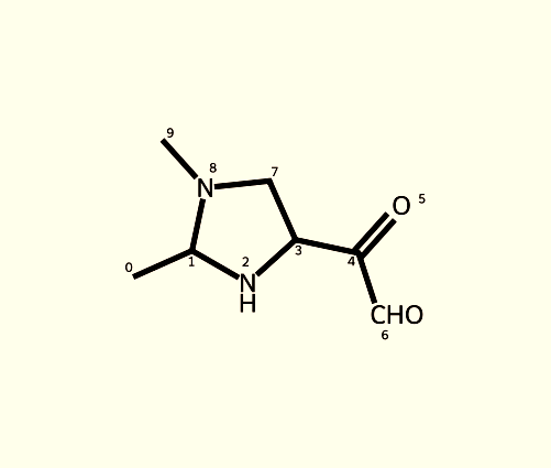 CC1NC(C(=O)C=O)CN1C